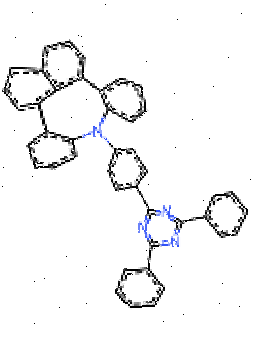 c1ccc(-c2nc(-c3ccccc3)nc(-c3ccc(N4c5ccccc5-c5cccc6cccc(c56)-c5ccccc54)cc3)n2)cc1